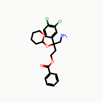 NCC(CCOC(=O)c1ccccc1)(OC1CCCCO1)c1ccc(Cl)c(Cl)c1